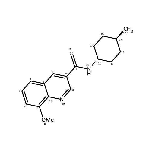 COc1cccc2cc(C(=O)N[C@H]3CC[C@H](C)CC3)cnc12